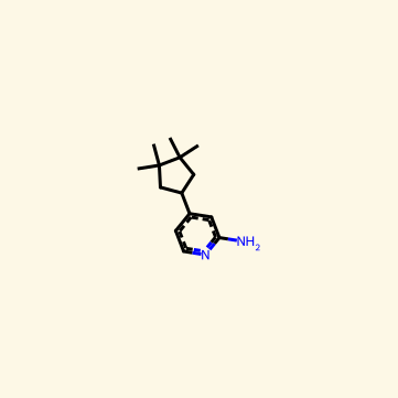 CC1(C)CC(c2ccnc(N)c2)CC1(C)C